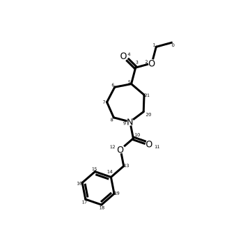 CCOC(=O)C1CCCN(C(=O)OCc2ccccc2)CC1